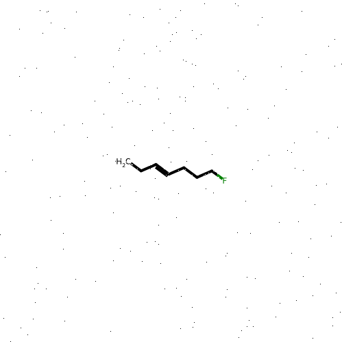 [CH2]C/C=C/CCCF